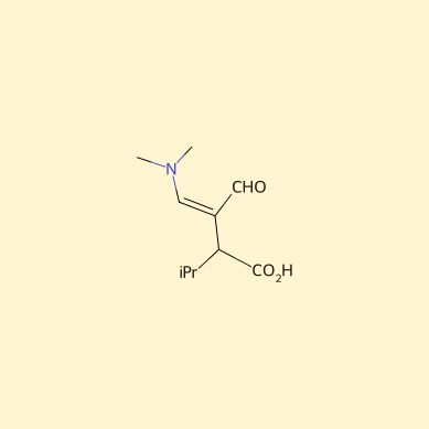 CC(C)C(C(=O)O)/C(C=O)=C/N(C)C